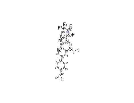 CCSc1cc(-c2ccc(C3CC3)cc2)cnc1-c1nnc(/C(F)=C(/F)C(F)(F)F)n1C